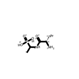 CCC[C@H](N)C(=O)NC(C)P(=O)(O)O